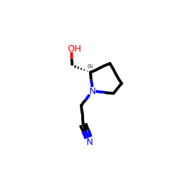 N#CCN1CCC[C@H]1CO